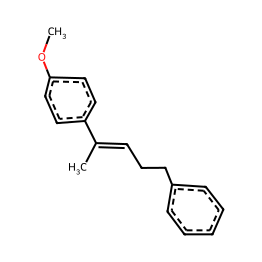 COc1ccc(C(C)=CCCc2ccccc2)cc1